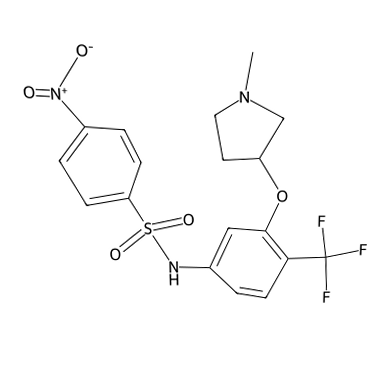 CN1CCC(Oc2cc(NS(=O)(=O)c3ccc([N+](=O)[O-])cc3)ccc2C(F)(F)F)C1